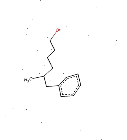 CC(CCCCBr)Cc1ccccc1